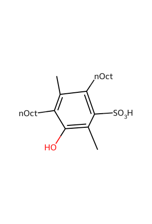 CCCCCCCCc1c(C)c(CCCCCCCC)c(S(=O)(=O)O)c(C)c1O